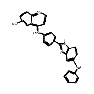 N#Cc1ccc2nccc(Nc3ccc(-c4nc5cc(Nc6ccccc6)ccc5[nH]4)cc3)c2c1